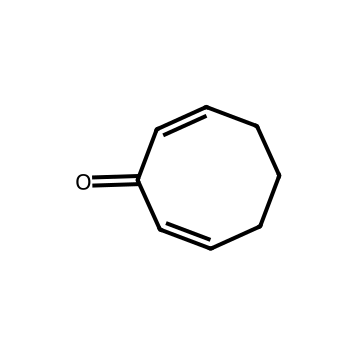 O=C1/C=C\CCC/C=C\1